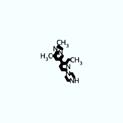 CCc1nc(N2CCNCC2)ccc1-c1cc(C)c2nc(C)cn2c1